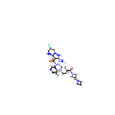 NC1NN2CC(F)CNC2C1C(=O)Nc1cncc(F)c1N1CCC(C(=O)N2CC(N3CCC3)C2)CC1